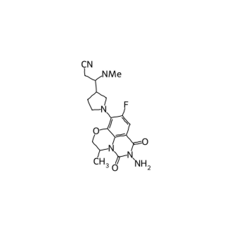 CNC(CC#N)C1CCN(c2c(F)cc3c(=O)n(N)c(=O)n4c3c2OCC4C)C1